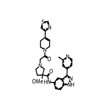 COC1(C(=O)Nc2ccc3[nH]nc(-c4ccnc(C)c4)c3c2)CCN(CC(=O)N2CC=C(c3cscn3)CC2)C1